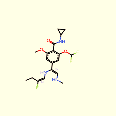 CC/C(F)=C\N/C(=C\NC)c1cc(OC)c(C(=O)NC2CC2)c(OC(F)F)c1